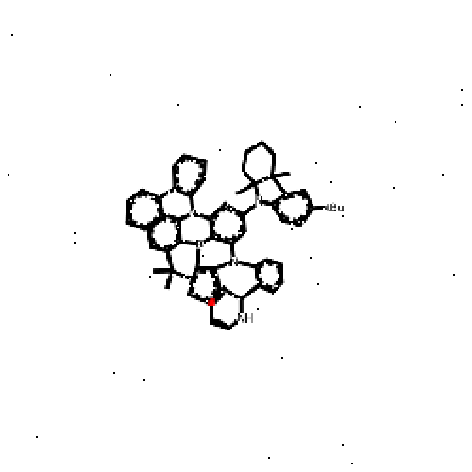 CC(C)(C)c1ccc2c(c1)C1(C)CCCCC1(C)N2c1cc2c3c(c1)N(c1ccccc1C1C=CC=CN1)c1cccc4c1B3c1c(cccc1C4(C)C)N2c1ccccc1-c1ccccn1